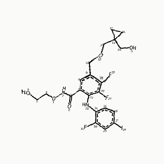 O=C(NOCCO)c1cc(COCC2(CO)CC2)c(F)c(F)c1Nc1ccc(I)cc1F